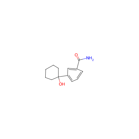 NC(=O)c1cccc(C2(O)CCCCC2)c1